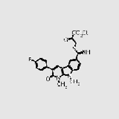 CCOC(=O)C(=O)CSC(=N)c1ccc2c(c1)c1cc(-c3ccc(F)cc3)c(=O)n(C)c1n2C